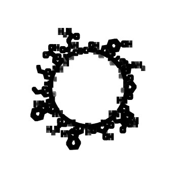 CCCC[C@H]1C(=O)N(C)[C@@H](CCCC)C(=O)N[C@@H](CCC(=O)O)C(=O)N[C@H](C(=O)NCC(N)=O)CSCC(=O)N[C@@H](Cc2ccc(O)cc2)C(=O)N(C)[C@@H](C)C(=O)N[C@@H](CC(N)=O)C(=O)N2CCC[C@H]2C(=O)N[C@@H](Cc2c[nH]cn2)C(=O)N[C@@H](CCC(=O)O)C(=O)N2C[C@H](O)C[C@H]2C(=O)N[C@@H](Cc2c[nH]c3ccccc23)C(=O)N[C@@H](CCN)C(=O)N[C@@H](Cc2c[nH]c3ccccc23)C(=O)N1C